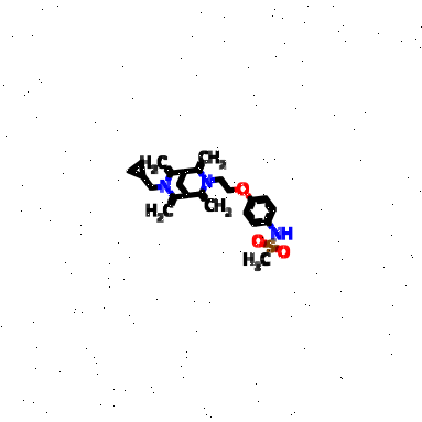 C=C1C2CC(C(=C)N1CCOc1ccc(NS(C)(=O)=O)cc1)C(=C)N(CC1CC1)C2=C